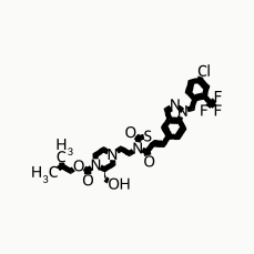 CC(C)COC(=O)N1CCN(CCN2C(=O)SC(=Cc3ccc4c(cnn4Cc4ccc(Cl)cc4C(F)(F)F)c3)C2=O)C[C@@H]1CO